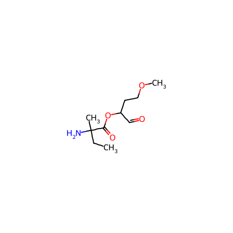 CCC(C)(N)C(=O)OC(C=O)CCOC